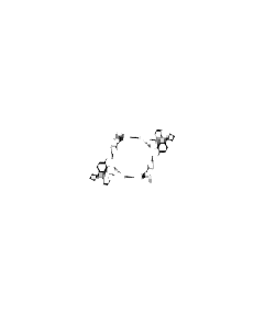 CC(C)C[C@H]1C(=O)O[C@H](Cc2ccc(C3(n4cccn4)CCC3)cc2)C(=O)N(C)[C@@H](CC(C)C)C(=O)O[C@H](C)C(=O)N(C)[C@@H](CC(C)C)C(=O)O[C@H](Cc2ccc(C3(n4cccn4)CCC3)cc2)C(=O)N(C)[C@@H](CC(C)C)C(=O)O[C@H](C)C(=O)N1C